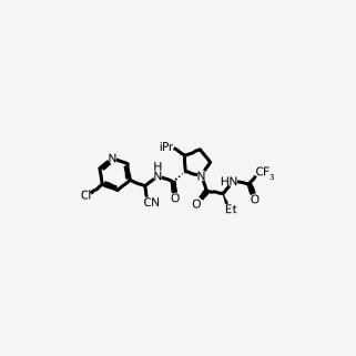 CC[C@H](NC(=O)C(F)(F)F)C(=O)N1CCC(C(C)C)[C@H]1C(=O)NC(C#N)c1cncc(Cl)c1